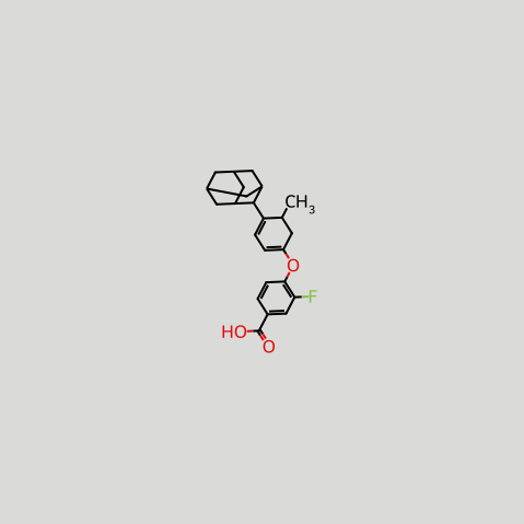 CC1CC(Oc2ccc(C(=O)O)cc2F)=CC=C1C1C2CC3CC(C2)CC1C3